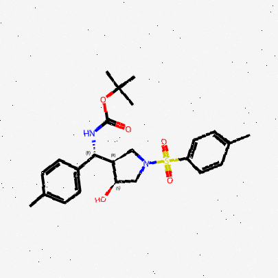 Cc1ccc([C@H](NC(=O)OC(C)(C)C)[C@H]2CN(S(=O)(=O)c3ccc(C)cc3)C[C@H]2O)cc1